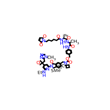 CCNc1cc(C2(Cc3nncn3C)COC2)cc(N2Cc3c(SC)cc(CN(C(=O)OCc4ccc(NC(=O)C(C)NC(=O)C(NC(=O)CCCCCN5C(=O)C=CC5=O)C(C)C)cc4)C4(C)CCC4)cc3C2=O)n1